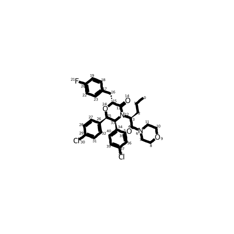 CCC[C@@H](C(=O)N1CCOCC1)N1C(=O)[C@@H](Cc2ccc(F)cc2)O[C@H](c2ccc(Cl)cc2)[C@@H]1c1ccc(Cl)cc1